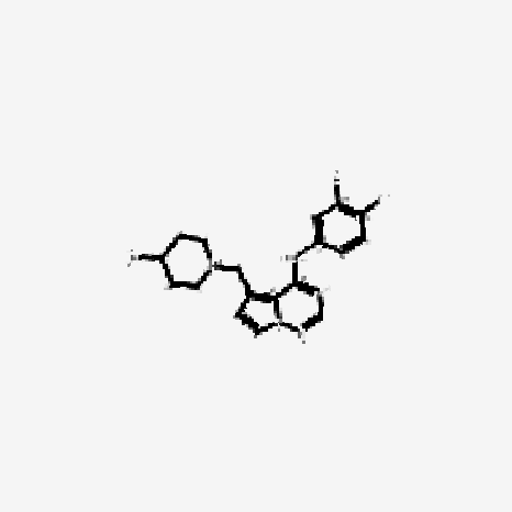 NC1CCN(Cc2ccn3ncnc(Nc4ccc(F)c(F)c4)c23)CC1